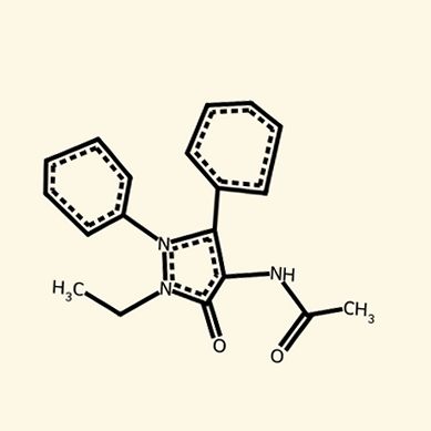 CCn1c(=O)c(NC(C)=O)c(-c2ccccc2)n1-c1ccccc1